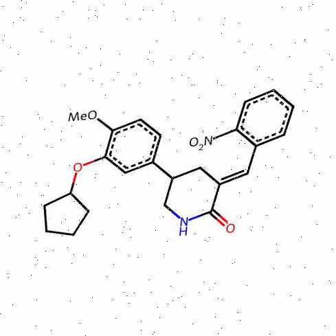 COc1ccc(C2CNC(=O)C(=Cc3ccccc3[N+](=O)[O-])C2)cc1OC1CCCC1